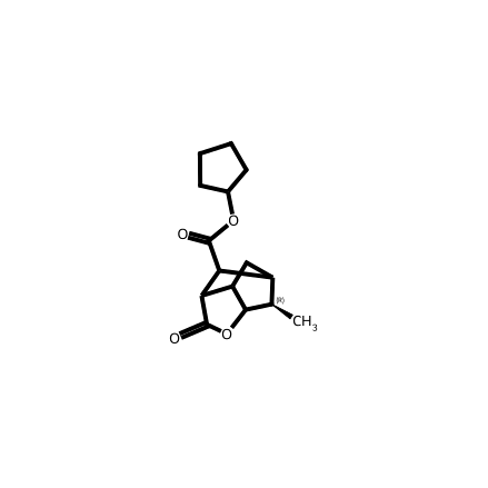 C[C@@H]1C2CC3C(C(=O)OC31)C2C(=O)OC1CCCC1